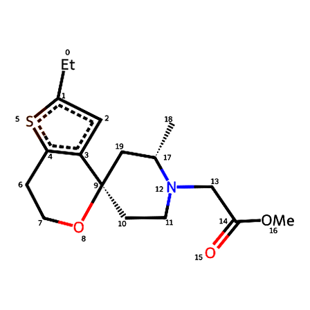 CCc1cc2c(s1)CCO[C@@]21CCN(CC(=O)OC)[C@@H](C)C1